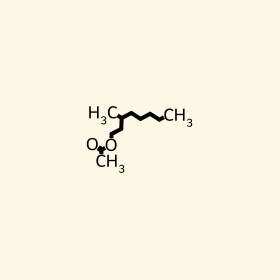 CCCCCC(C)CCOC(C)=O